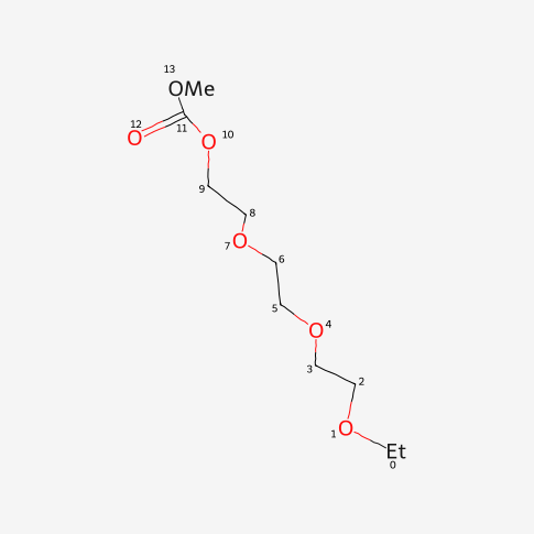 CCOCCOCCOCCOC(=O)OC